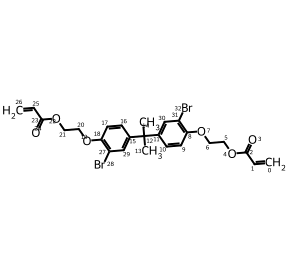 C=CC(=O)OCCOc1ccc(C(C)(C)c2ccc(OCCOC(=O)C=C)c(Br)c2)cc1Br